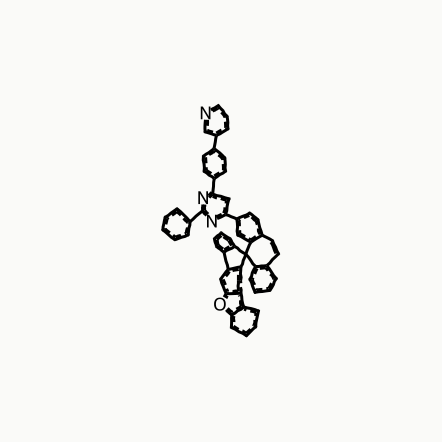 C1=Cc2ccc(-c3cc(-c4ccc(-c5cccnc5)cc4)nc(-c4ccccc4)n3)cc2C2(c3ccccc31)c1ccccc1-c1cc3oc4ccccc4c3cc12